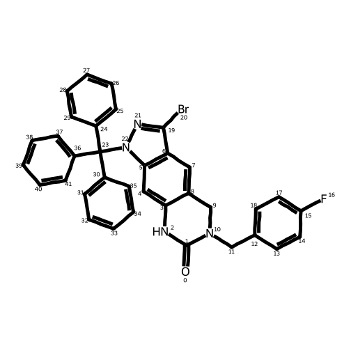 O=C1Nc2cc3c(cc2CN1Cc1ccc(F)cc1)c(Br)nn3C(c1ccccc1)(c1ccccc1)c1ccccc1